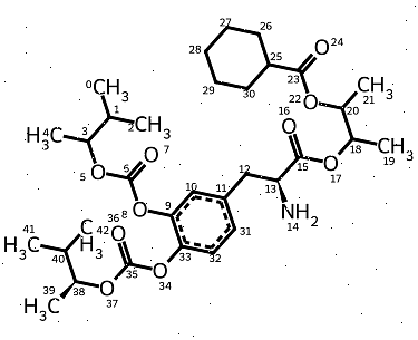 CC(C)C(C)OC(=O)Oc1cc(C[C@H](N)C(=O)OC(C)C(C)OC(=O)C2CCCCC2)ccc1OC(=O)O[C@@H](C)C(C)C